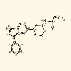 C=CC(=O)N[C@@H]1CCCN(c2cnc3[nH]cc(-c4cccnc4)c3c2)C1